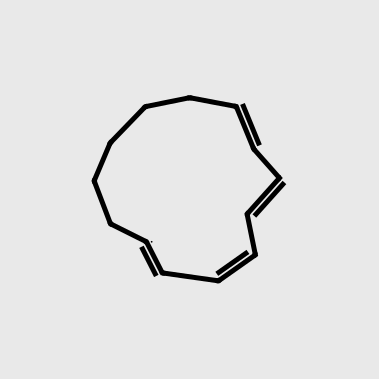 [C]1=C/C=C\C=C\C=C\CCCCC/1